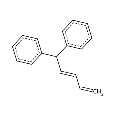 C=CC=CC(c1ccccc1)c1ccccc1